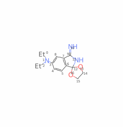 CCN(CC)c1ccc2c(c1)C(=N)NC21OCCO1